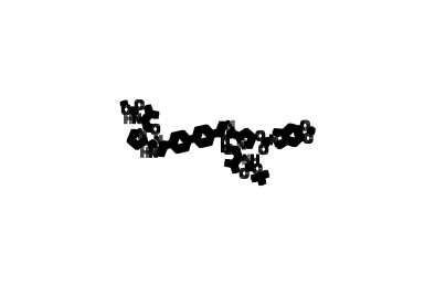 COC(=O)N[C@H](C(=O)N1CCC[C@H]1c1nc(-c2ccc(-c3ccc(-c4cnc(C5C[C@@H](OC(=O)N6Cc7cc8c(cc7C6)OCO8)CN5C(=O)[C@@H](NC(=O)OC(C)(C)C)C(C)C)[nH]4)cc3)cc2)c[nH]1)C(C)C